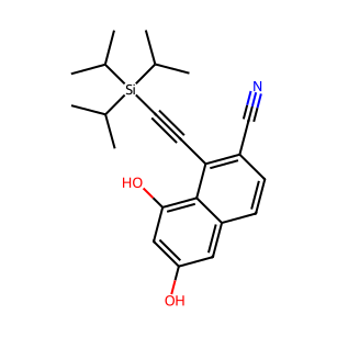 CC(C)[Si](C#Cc1c(C#N)ccc2cc(O)cc(O)c12)(C(C)C)C(C)C